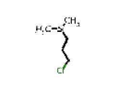 C[Si](C)CCCCl